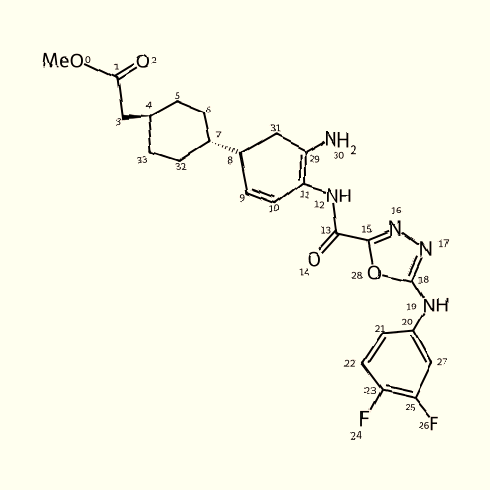 COC(=O)C[C@H]1CC[C@H](C2C=CC(NC(=O)c3nnc(Nc4ccc(F)c(F)c4)o3)=C(N)C2)CC1